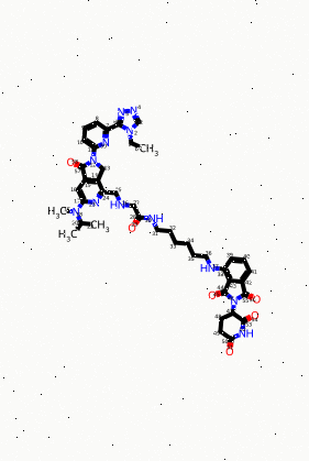 CCn1cnnc1-c1cccc(N2Cc3c(cc(N(C)C(C)C)nc3CNCC(=O)NCCCCCCNc3cccc4c3C(=O)N(C3CCC(=O)NC3=O)C4=O)C2=O)n1